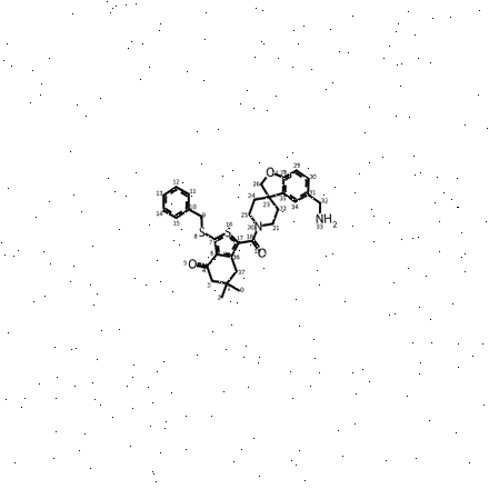 CC1(C)CC(=O)c2c(SCc3ccccc3)sc(C(=O)N3CCC4(CC3)COc3ccc(CN)cc34)c2C1